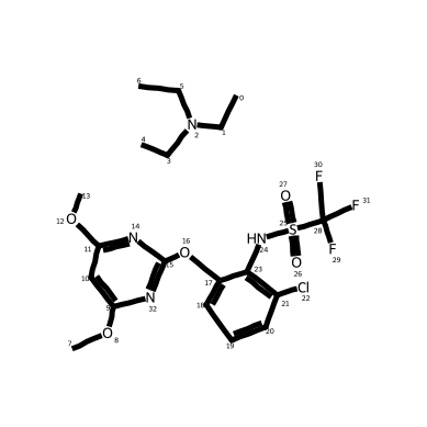 CCN(CC)CC.COc1cc(OC)nc(Oc2cccc(Cl)c2NS(=O)(=O)C(F)(F)F)n1